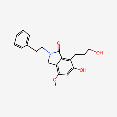 COc1cc(O)c(CCCO)c2c1CN(CCc1ccccc1)C2=O